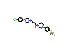 O=C(CCCN1CCN(c2ccc(Cl)cc2)CC1)N1CCCN(c2ccc(SC(F)(F)F)cc2)CC1